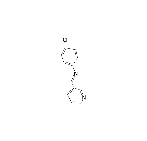 Clc1ccc(N=Cc2cccnc2)cc1